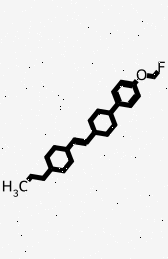 CCCC1CCC(/C=C/C2CCC(c3ccc(OCF)cc3)CC2)CC1